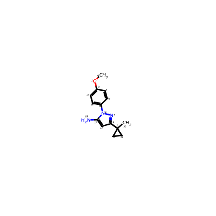 COc1ccc(-n2nc(C3(C)CC3)cc2N)cc1